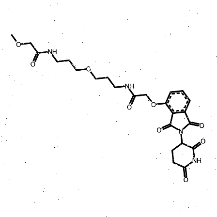 COCC(=O)NCCCOCCCNC(=O)COc1cccc2c1C(=O)N(C1CCC(=O)NC1=O)C2=O